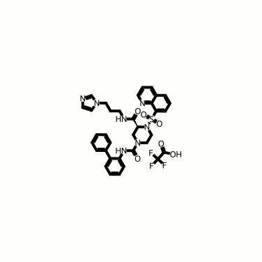 O=C(NCCCn1ccnc1)[C@@H]1CN(C(=O)Nc2ccccc2-c2ccccc2)CCN1S(=O)(=O)c1cccc2cccnc12.O=C(O)C(F)(F)F